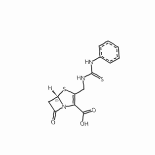 O=C(O)C1=C(CNC(=S)Nc2ccccc2)S[C@H]2CC(=O)N12